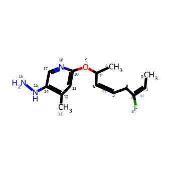 C/C=C(/F)C/C=C\C(C)Oc1cc(C)c(NN)cn1